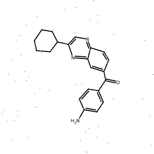 Nc1ccc(C(=O)c2ccc3ncc(C4CCCCC4)nc3c2)cc1